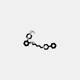 CN1CCN(c2ccccc2NCCCCCN2CCC(c3ccccc3)CC2)CC1